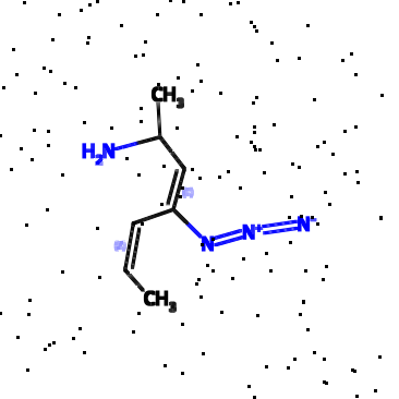 C/C=C\C(=C/C(C)N)N=[N+]=[N-]